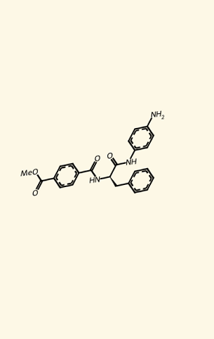 COC(=O)c1ccc(C(=O)N[C@H](Cc2ccccc2)C(=O)Nc2ccc(N)cc2)cc1